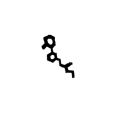 CCOC(=O)CSc1nccc(-c2ncccc2C)n1